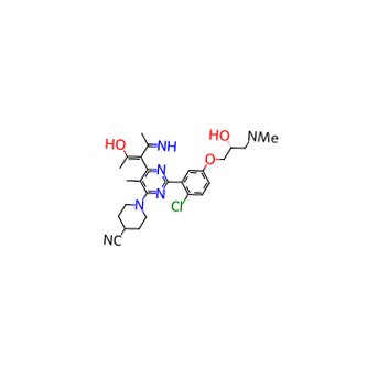 CNC[C@@H](O)COc1ccc(Cl)c(-c2nc(/C(C(C)=N)=C(\C)O)c(C)c(N3CCC(C#N)CC3)n2)c1